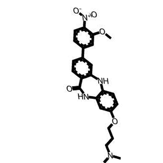 COc1cc(-c2ccc3c(c2)Nc2ccc(OCCCN(C)C)cc2NC3=O)ccc1[N+](=O)[O-]